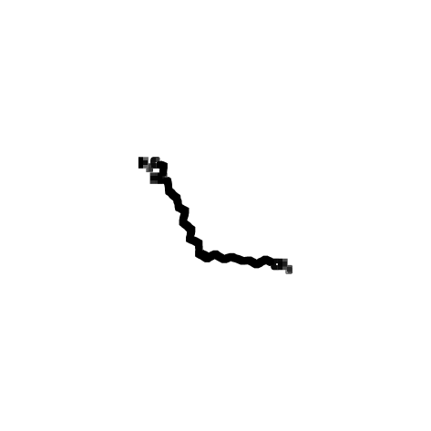 CCCCCCCC/C=C\CCCCCCCCCNCC